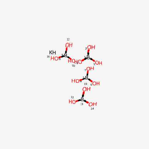 OB(O)O.OB(O)O.OB(O)O.OB(O)O.[KH]